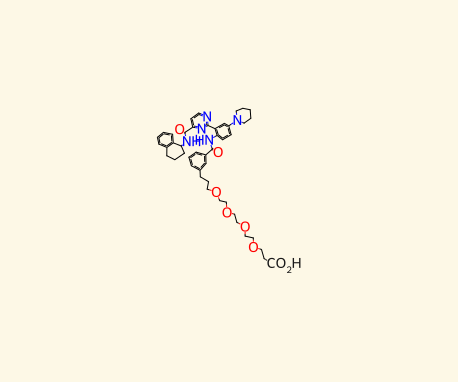 O=C(O)CCOCCOCCOCCOCCCc1cccc(C(=O)Nc2ccc(N3CCCCC3)cc2-c2nccc(C(=O)N[C@H]3CCCc4ccccc43)n2)c1